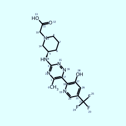 Cc1nc(N[C@@H]2CCCN(CC(=O)O)C2)nnc1-c1ncc(C(F)(F)F)cc1O